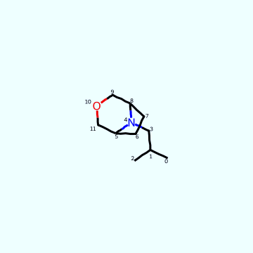 CC(C)CN1C2CCC1COC2